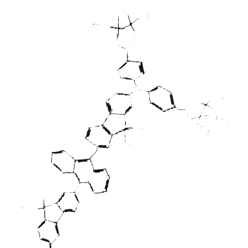 CC1(C)c2ccccc2-c2ccc(-c3c4ccccc4c(-c4ccc5c(c4)C(C)(C)c4cc(N(c6ccc(B7OC(C)(C)C(C)(C)O7)cc6)c6ccc(B7OC(C)(C)C(C)(C)O7)cc6)ccc4-5)c4ccccc34)cc21